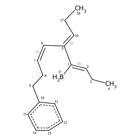 BC(=C\CC)/C(/C=C\CCc1ccccc1)=C/CC